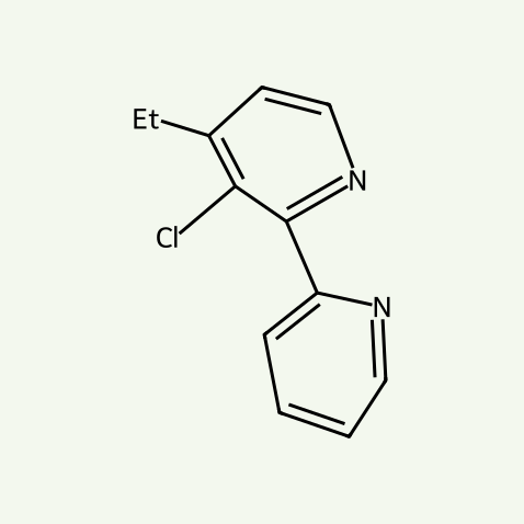 CCc1ccnc(-c2ccccn2)c1Cl